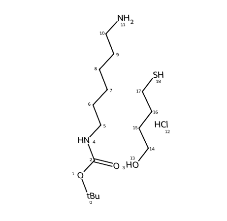 CC(C)(C)OC(=O)NCCCCCCN.Cl.OCCCCS